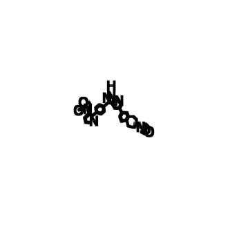 O=C1OCCN1c1cccnc1-c1ccc(-c2n[nH]c3ncc(-c4ccc5c(c4)CC[C@@H](N4C6COCC4C6)CC5)cc23)cc1